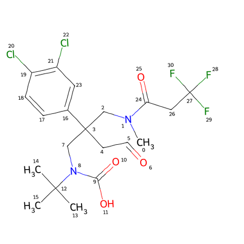 CN(CC(CC=O)(CN(C(=O)O)C(C)(C)C)c1ccc(Cl)c(Cl)c1)C(=O)CC(F)(F)F